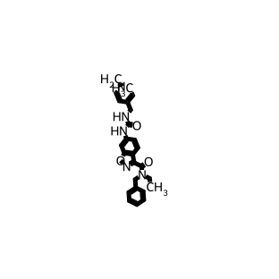 C=N/C=C\C(=C/C)CNC(=O)Nc1ccc2c(C(=O)N(CC)Cc3ccccc3)noc2c1